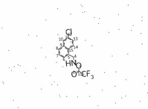 O=C(ONCc1cccc2cc(Cl)ccc12)C(F)(F)F